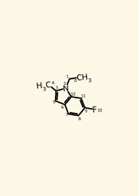 CCn1c(C)cc2ccc(F)cc21